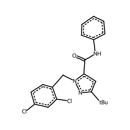 CC(C)(C)c1cc(C(=O)Nc2ccccc2)n(Cc2ccc(Cl)cc2Cl)n1